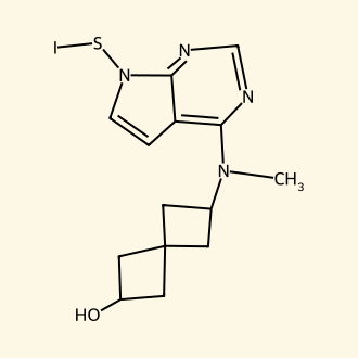 CN(c1ncnc2c1ccn2SI)C1CC2(CC(O)C2)C1